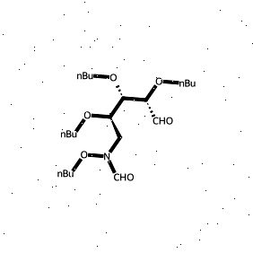 CCCCO[C@H]([C@@H](C=O)OCCCC)[C@@H](CN(C=O)OCCCC)OCCCC